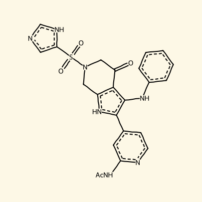 CC(=O)Nc1cc(-c2[nH]c3c(c2Nc2ccccc2)C(=O)CN(S(=O)(=O)c2cnc[nH]2)C3)ccn1